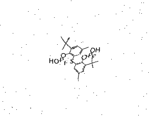 Cc1cc(Sc2cc(C)cc(C(C)(C)C)c2OP(O)F)c(OP(O)F)c(C(C)(C)C)c1